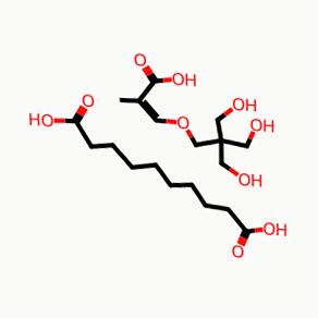 CC(=COCC(CO)(CO)CO)C(=O)O.O=C(O)CCCCCCCCC(=O)O